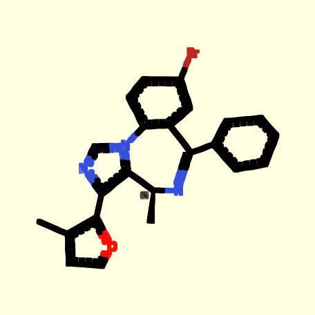 Cc1ccoc1-c1ncn2c1[C@H](C)N=C(c1ccccc1)c1cc(Br)ccc1-2